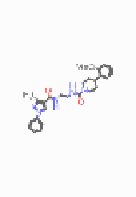 COc1ccccc1C1CCN(C(=O)NCCNC(=O)c2cn(-c3ccccc3)nc2C(F)(F)F)CC1